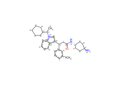 Cc1cccc(C(CC(=O)N[C@H]2CC[C@H](N)CC2)c2cn(C(C)C3CCCCC3)c3ccccc23)c1